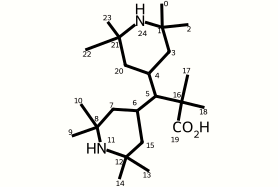 CC1(C)CC(C(C2CC(C)(C)NC(C)(C)C2)C(C)(C)C(=O)O)CC(C)(C)N1